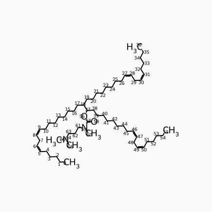 CCCCC/C=C\C/C=C\CCCCCCCCC(CCCCCCCC/C=C\C/C=C\CCCCC)C(CCCCCCCC/C=C\C/C=C\CCCCC)OC(=O)N(C)CCCN(C)C